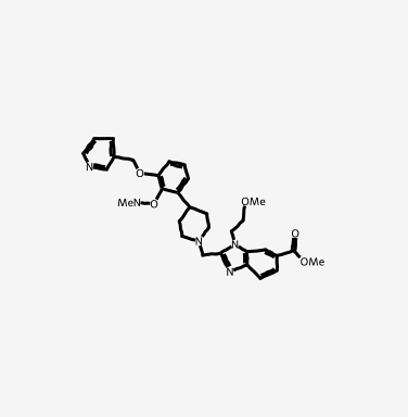 CNOc1c(OCc2cccnc2)cccc1C1CCN(Cc2nc3ccc(C(=O)OC)cc3n2CCOC)CC1